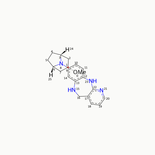 CO[C@H]1C[C@H]2CC[C@@H](C1)N2c1ccc2c(c1)NCc1cccnc1N2